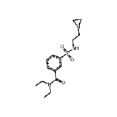 CCN(CC)C(=O)c1cccc(S(=O)(=O)NCCN2CC2)c1